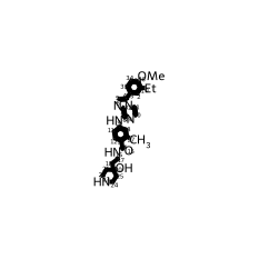 CCc1cc(-c2cnc3c(Nc4ccc(C(=O)NCCC5(O)CCNCC5)c(C)c4)nccn23)ccc1OC